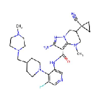 CN1CCN(CC2CCN(c3c(F)cncc3NC(=O)c3c(N)nn4c3N(C)CC(C3(C#N)CC3)C4)CC2)CC1